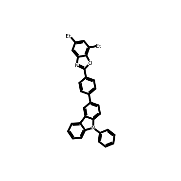 CCc1cc(CC)c2oc(-c3ccc(-c4ccc5c(c4)c4ccccc4n5-c4ccccc4)cc3)nc2c1